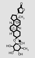 C#C[C@@]1(O[C@@H]2O[C@@H](C)[C@H](O)[C@@H](O)[C@H]2O)CC[C@@]2(C)[C@H](CC[C@@H]3[C@@H]2CC[C@]2(C)[C@@H](C4=CC(=O)OC4)CC[C@]32O)C1